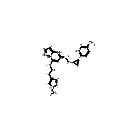 Cc1ccc([C@@H]2C[C@H]2COc2cc(NCCc3cnn(C)c3)n3nccc3n2)nc1